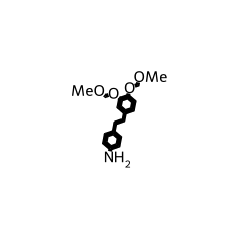 COCOc1ccc(C=Cc2ccc(N)cc2)cc1OCOC